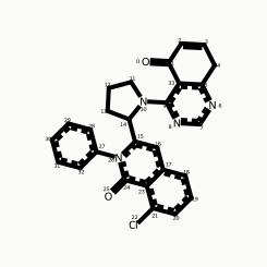 O=C1C=CCc2ncnc(N3CCCC3c3cc4cccc(Cl)c4c(=O)n3-c3ccccc3)c21